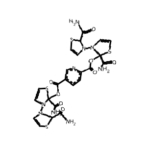 NC(=O)C1SC=CN1N1C=CSC1(OC(=O)c1ccc(C(=O)OC2(C(N)=O)SC=CN2N2C=CSC2C(N)=O)nc1)C(N)=O